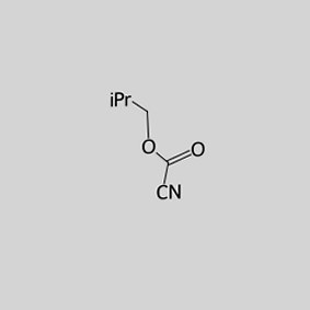 CC(C)COC(=O)C#N